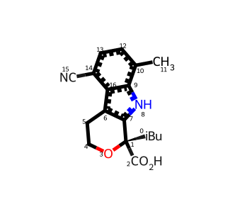 CCC(C)[C@@]1(C(=O)O)OCCc2c1[nH]c1c(C)ccc(C#N)c21